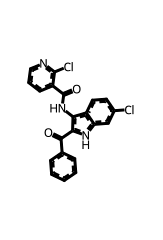 O=C(Nc1c(C(=O)c2ccccc2)[nH]c2cc(Cl)ccc12)c1cccnc1Cl